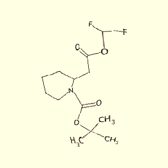 CC(C)(C)OC(=O)N1CCCCC1CC(=O)OC(F)F